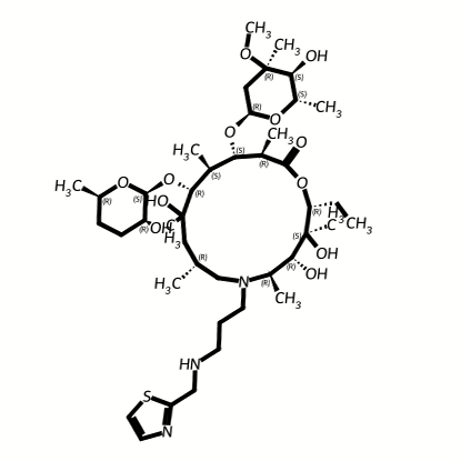 CC[C@H]1OC(=O)[C@H](C)[C@@H](O[C@H]2C[C@@](C)(OC)[C@@H](O)[C@H](C)O2)[C@H](C)[C@@H](O[C@@H]2O[C@H](C)CC[C@H]2O)C(C)(O)C[C@@H](C)CN(CCCNCc2nccs2)[C@H](C)[C@@H](O)[C@]1(C)O